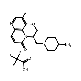 NC1CCN(C[C@@H]2COc3c(F)cnc4ccc(=O)n2c34)CC1.O=C(O)C(F)(F)F